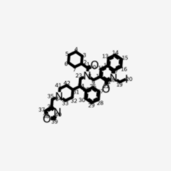 O=C(C1CCCCC1)N(Cc1cc2ccccc2n(CI)c1=O)CC(c1ccccc1)C1CCN(Cc2cocn2)CC1